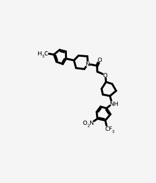 Cc1ccc(C2CCN(C(=O)COC3CCC(Nc4ccc([N+](=O)[O-])c(C(F)(F)F)c4)CC3)CC2)cc1